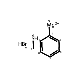 Br.CS.[Mg+2][c]1ccccc1